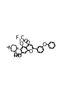 CN1CC[C@H](c2c(O)cc3oc(-c4cccc(Oc5ccccc5)c4)cc(=O)c3c2OC(=O)C(F)(F)F)[C@H](O)C1